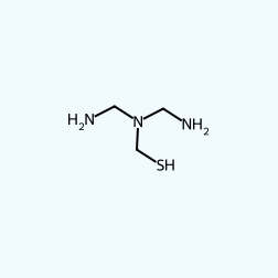 NCN(CN)CS